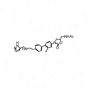 CC(=O)NCC1CN(c2ccc(-c3ccc(CCNCc4cnn[nH]4)cc3)c(F)c2)C(=O)O1